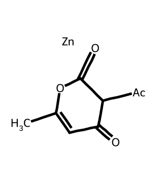 CC(=O)C1C(=O)C=C(C)OC1=O.[Zn]